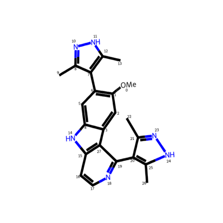 COc1cc2c(cc1-c1c(C)n[nH]c1C)[nH]c1ccnc(-c3c(C)n[nH]c3C)c12